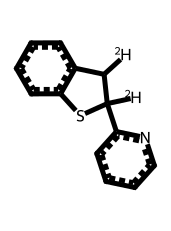 [2H]C1c2ccccc2SC1([2H])c1ccccn1